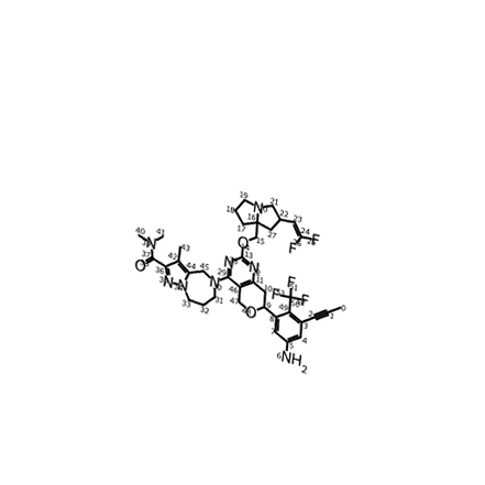 CC#Cc1cc(N)cc(C2Cc3nc(OCC45CCCN4CC(C=C(F)F)C5)nc(N4CCCn5nc(C(=O)N(C)C)c(C)c5C4)c3CO2)c1C(F)(F)F